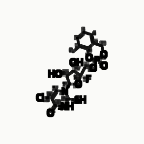 Cc1cccc2c1OP(=O)(OC[C@@]1(F)O[C@@H](N3C=C(Cl)C(=O)NC3S)[C@H](O)[C@@H]1O)OC2